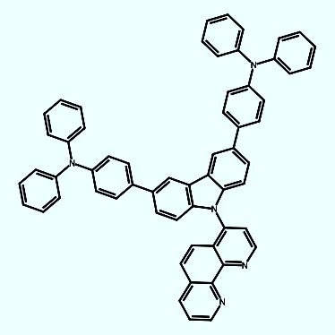 c1ccc(N(c2ccccc2)c2ccc(-c3ccc4c(c3)c3cc(-c5ccc(N(c6ccccc6)c6ccccc6)cc5)ccc3n4-c3ccnc4c3ccc3cccnc34)cc2)cc1